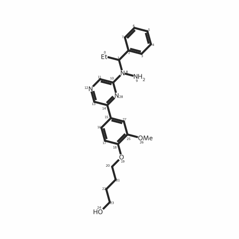 CCC(c1ccccc1)N(N)c1cncc(-c2ccc(OCCCCO)c(OC)c2)n1